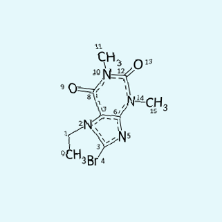 CCn1c(Br)nc2c1c(=O)n(C)c(=O)n2C